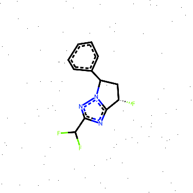 FC(F)c1nc2n(n1)C(c1ccccc1)C[C@@H]2F